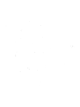 COc1ccc2c(=O)n(C)c(C#N)c(-c3cccc(C(=O)O)c3C)c2c1